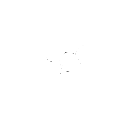 CCOc1cc(C)ccc1F